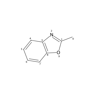 Cc1nc2ccc[c]c2o1